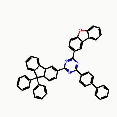 C1=CC2C(C=C1c1nc(-c3ccc(-c4ccccc4)cc3)nc(-c3ccc4oc5ccccc5c4c3)n1)c1ccccc1C2(c1ccccc1)c1ccccc1